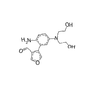 Nc1ccc(N(CCO)CCO)cc1-c1cocc1C=O